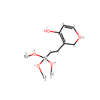 CCO[Si](CCC1=C(O)C=COC1)(OCC)OCC